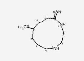 CC1CCCNCCNC(=N)CC1